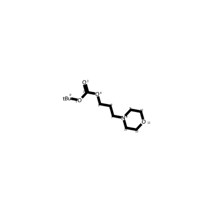 CC(C)(C)OC(=O)OCCCN1CCOCC1